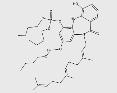 CCCCOPOc1cc(OP(=O)(OCCCC)OCCCC)c2c(c1)N(C/C=C(\C)CC/C=C(\C)CCC=C(C)C)C(=O)c1cccc(O)c1N2